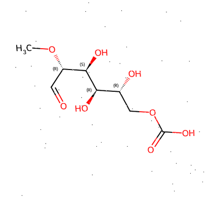 CO[C@@H](C=O)[C@@H](O)[C@H](O)[C@H](O)COC(=O)O